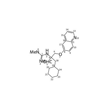 CNC(=N)NC(C=O)(COc1ccc2ncccc2c1)CC1CCCCC1